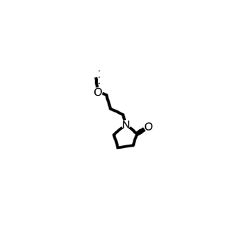 [C]OCCCN1CCCC1=O